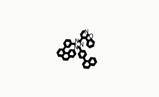 c1cc(-c2nc(-c3ccc(-c4cccc5ccccc45)cc3)nc(-c3ccnc4oc5ccccc5c34)n2)cc(-c2cccc3ccc4ccccc4c23)c1